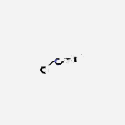 C/C=C(\C=C/CNC(=O)c1nc(C#N)c[nH]1)CCNc1ccccn1